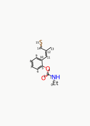 CCNC(=O)Oc1ccccc1C=C(C)C=S